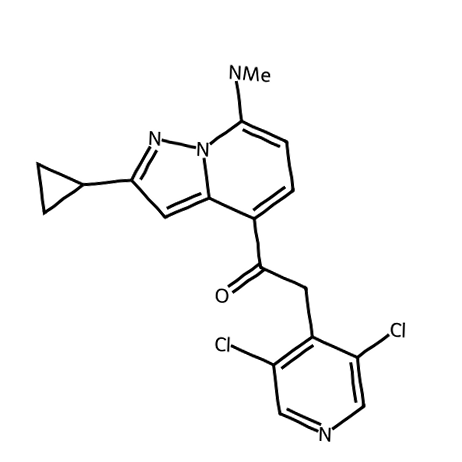 CNc1ccc(C(=O)Cc2c(Cl)cncc2Cl)c2cc(C3CC3)nn12